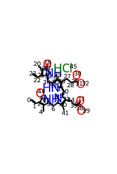 C=CC1=C(C)/C(=C/C2=NC(=C\c3[nH]c(/C=C4\NC(=O)C(C)=C4C=C)c(C)c3CCC(=O)OC)/C(CCC(=O)OC)=C2C)NC1=O.Cl